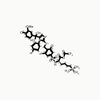 COc1cc(C(C)(C)c2cnc(SCc3c(F)cc(S(=O)(=O)N[C@H](CCCC[N+](C)(C)C)C(=O)OC(=O)C(F)(F)F)cc3Cl)n2-c2ccc(F)cc2)ccc1Cl